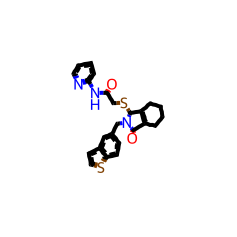 O=C(CSC1C2=C(CCCC2)C(=O)N1Cc1ccc2sccc2c1)Nc1ccccn1